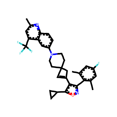 Cc1cc(C(F)(F)F)c2cc(N3CCC4(C=C(c5c(-c6c(C)cc(F)cc6C)noc5C5CC5)C4)CC3)ccc2n1